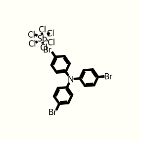 Brc1ccc(N(c2ccc(Br)cc2)c2ccc(Br)cc2)cc1.[Cl][Sb-]([Cl])([Cl])([Cl])([Cl])[Cl]